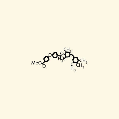 COC(=O)c1ccc(Oc2ccc(C(=O)Oc3c(C)cc(Cc4cc(C)c(C)c(C)c4)cc3C)cc2)cc1